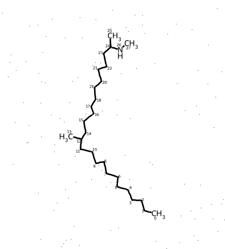 CCCCCCCCCCCCC(C)CCCCCCCCCCC(C)NC